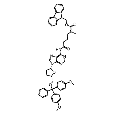 COc1ccc(C(OC[C@@H]2CC[C@H](n3cnc4c(NC(=O)CCCN(C)C(=O)OCC5c6ccccc6-c6ccccc65)ncnc43)O2)(c2ccccc2)c2ccc(OC)cc2)cc1